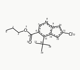 CCCOC(=O)c1cnn2cc(Cl)cc2c1C(C)(C)C